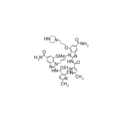 CCc1nc(C)sc1C(=O)Nc1nc2cc(C(N)=O)cc(SC)c2n1CC=CCn1c(NC(=O)c2cc(C)nn2CC)nc2cc(C(N)=O)cc(OCCCN3CCNCC3)c21